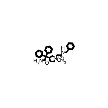 C[N+]1(CC(=O)NCc2ccccc2)CCC(C(C(N)=O)(c2ccccc2)c2ccccc2)C1